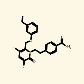 CCc1cccc(OCc2c(Cl)cc(Cl)c(=O)n2CCc2ccc(C(N)=O)cc2)c1